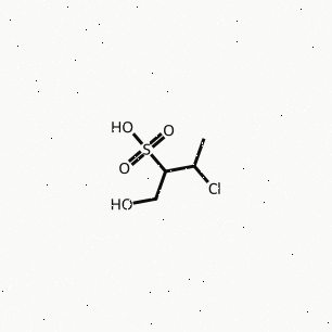 CC(Cl)C(CO)S(=O)(=O)O